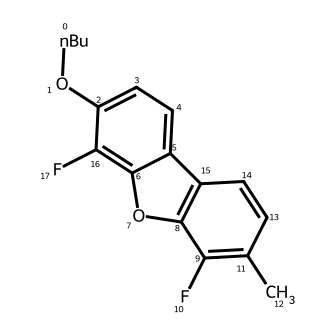 CCCCOc1ccc2c(oc3c(F)c(C)ccc32)c1F